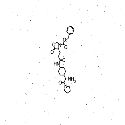 N[C@H](C(=O)N1CCCC1)C1CCC(NC(=O)CC[C@H]2C(=O)OCN2C(=O)OCc2ccccc2)CC1